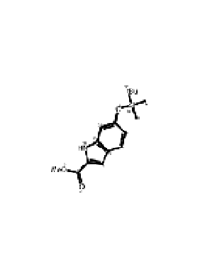 COC(=O)c1cc2ccc(O[Si](C)(C)C(C)(C)C)cc2[nH]1